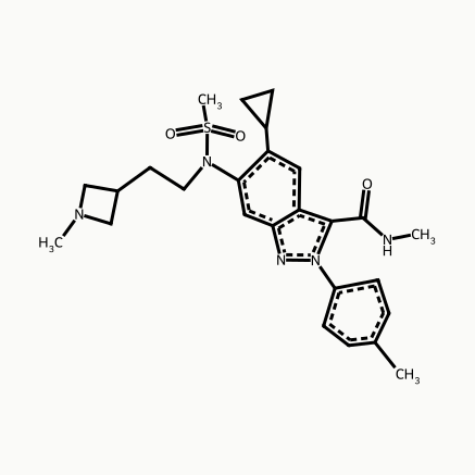 CNC(=O)c1c2cc(C3CC3)c(N(CCC3CN(C)C3)S(C)(=O)=O)cc2nn1-c1ccc(C)cc1